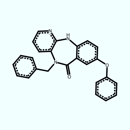 O=C1c2cc(Oc3ccccc3)ccc2Nc2ncccc2N1Cc1ccccc1